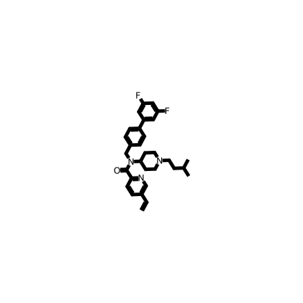 C=Cc1ccc(C(=O)N(Cc2ccc(-c3cc(F)cc(F)c3)cc2)C2CCN(CCC(C)C)CC2)nc1